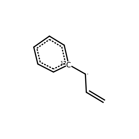 C=C[CH][12c]1ccccc1